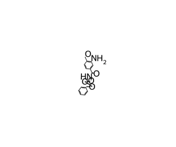 Nc1cc(C(=O)NOS(=O)(=O)c2ccccc2)ccc1C=O